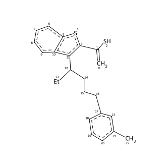 C=C(S)c1sc2ccccc2c1C(CC)CCCc1cccc(C)c1